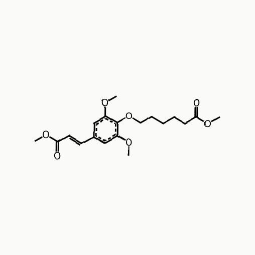 COC(=O)/C=C/c1cc(OC)c(OCCCCCC(=O)OC)c(OC)c1